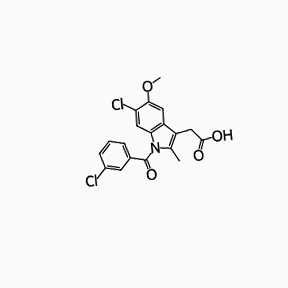 COc1cc2c(CC(=O)O)c(C)n(C(=O)c3cccc(Cl)c3)c2cc1Cl